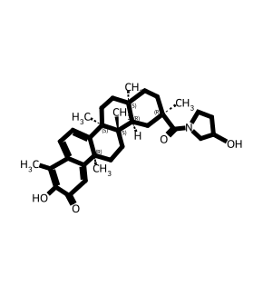 CC1=C(O)C(=O)C=C2C1=CC=C1[C@@]2(C)CC[C@@]2(C)[C@@H]3C[C@](C)(C(=O)N4CCC(O)C4)CC[C@]3(C)CC[C@]12C